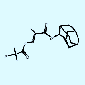 CC(=COC(=O)C(C)(C)Br)C(=O)OC1C2CC3CC(C2)CC1C3